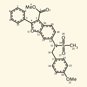 COC(=O)c1c(-c2ccccc2)oc2cc(N(Cc3ccc(OC)cc3)S(C)(=O)=O)ccc12